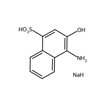 Nc1c(O)cc(S(=O)(=O)O)c2ccccc12.[NaH]